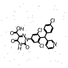 O=C(O)c1nn(-c2cc(Cl)c(C(c3ccc(Cl)cc3)c3cccnc3)c(Cl)c2)c(=O)[nH]c1=O